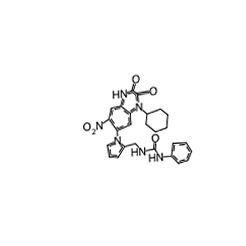 O=C(NCc1cccn1-c1cc2c(cc1[N+](=O)[O-])[nH]c(=O)c(=O)n2C1CCCCC1)Nc1ccccc1